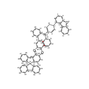 C1=CC(c2cccc3oc4ccccc4c23)CC=C1N(c1ccccc1)c1ccccc1-c1ccc2c(c1)Oc1c(ccc3c1-c1ccccc1C31c3ccccc3-c3ccccc31)O2